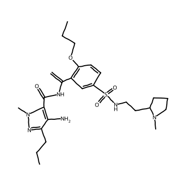 C=C(NC(=O)c1c(N)c(CCC)nn1C)c1cc(S(=O)(=O)NCCC2CCCN2C)ccc1OCCC